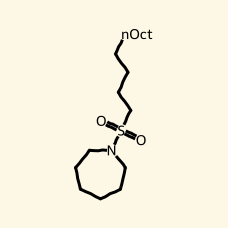 CCCCCCCCCCCCS(=O)(=O)N1CCCCCC1